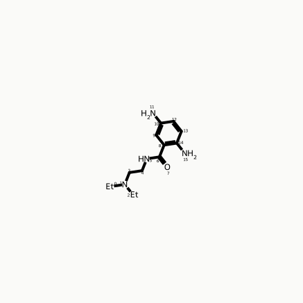 CCN(CC)CCNC(=O)c1cc(N)ccc1N